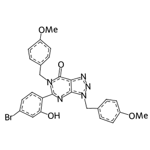 COc1ccc(Cn2c(-c3ccc(Br)cc3O)nc3c(nnn3Cc3ccc(OC)cc3)c2=O)cc1